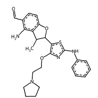 CC1c2c(ccc(C=O)c2N)OC1c1sc(Nc2ccccc2)nc1OCCN1CCCC1